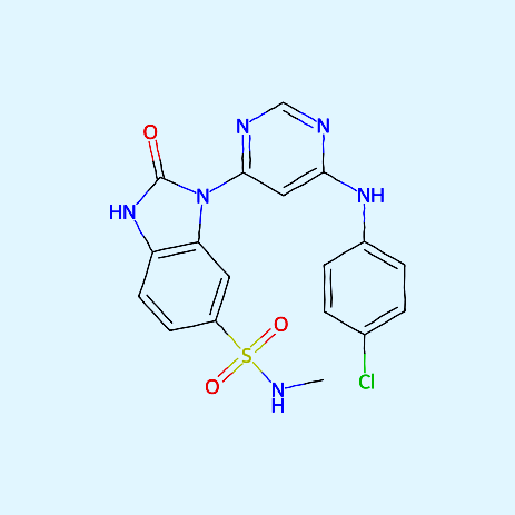 CNS(=O)(=O)c1ccc2[nH]c(=O)n(-c3cc(Nc4ccc(Cl)cc4)ncn3)c2c1